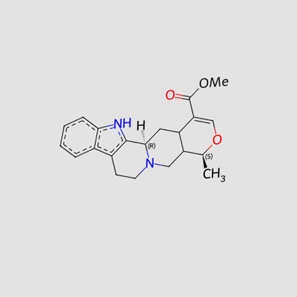 COC(=O)C1=CO[C@@H](C)C2CN3CCc4c([nH]c5ccccc45)[C@H]3CC12